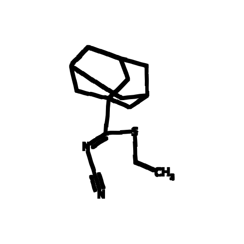 CCS/C(=N\C#N)C12CC3CC(CC(C3)C1)C2